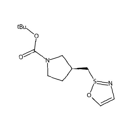 CC(C)(C)OC(=O)N1CC[C@H](CS2=NC=CO2)C1